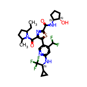 CCC1CCC(C)N1C(=O)c1nc(C(=O)N[C@H]2CCC[C@@H]2O)sc1-c1cnc(N[C@@H](C2CC2)C(F)(F)F)cc1C(F)F